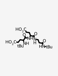 CC(C)(C)NC(=O)CCNC(=O)C(CCC(=O)O)NC(=O)C(CCC(=O)O)NC(C)(C)C